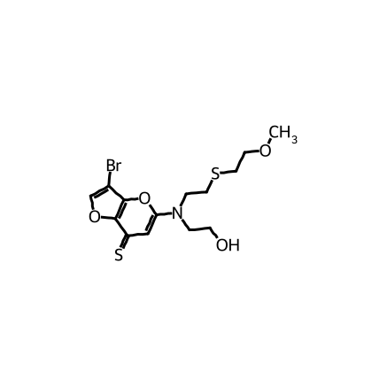 COCCSCCN(CCO)c1cc(=S)c2occ(Br)c2o1